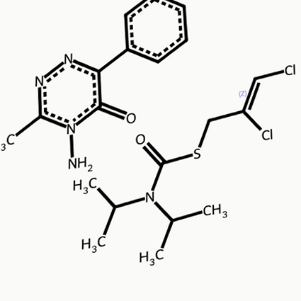 CC(C)N(C(=O)SC/C(Cl)=C/Cl)C(C)C.Cc1nnc(-c2ccccc2)c(=O)n1N